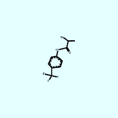 CC(Br)C(=O)Nc1ccc(C(F)(F)F)cc1